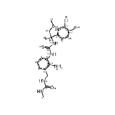 CNC(=O)NCc1cccc(NC(=S)N[C@](C)(COC)c2ccc(F)c(Cl)c2)c1N